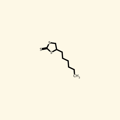 CCCCCCC1CSC(=S)S1